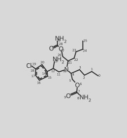 CCCCC(COC(N)=O)N(CC(N)c1cccc(Cl)c1)C(CCCC)COC(N)=O